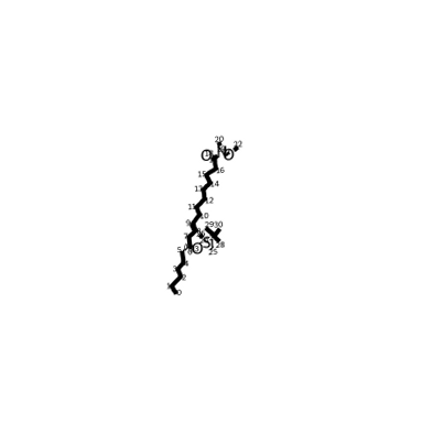 CCCCCC[C@H](CC=CCCCCCCCC(=O)N(C)OC)O[Si](C)(C)C(C)(C)C